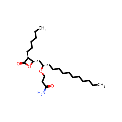 CCCCCCCCCCC[C@@H](C[C@@H]1OC(=O)[C@H]1CCCCCC)OCCC(N)=O